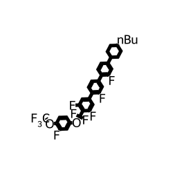 CCCCC1CCC(c2ccc(-c3ccc(-c4cc(F)c(C(F)(F)Oc5ccc(OC(F)(F)F)c(F)c5)c(F)c4)c(F)c3)c(F)c2)CC1